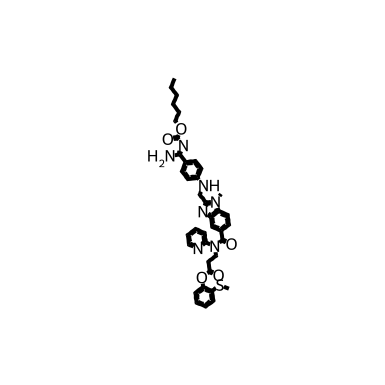 CCCCCCOC(=O)/N=C(\N)c1ccc(NCc2nc3cc(C(=O)N(CCC(=O)Oc4ccccc4SC)c4ccccn4)ccc3n2C)cc1